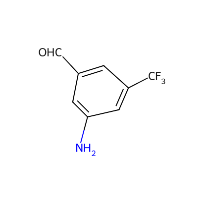 Nc1cc(C=O)cc(C(F)(F)F)c1